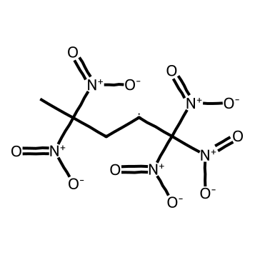 CC(C[CH]C([N+](=O)[O-])([N+](=O)[O-])[N+](=O)[O-])([N+](=O)[O-])[N+](=O)[O-]